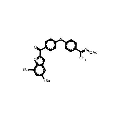 CC(=O)ON=C(C)c1ccc(Sc2ccc(C(=O)c3cc4cc(C(C)(C)C)cc(C(C)(C)C)c4o3)cc2)cc1